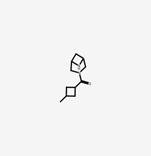 CC1CC(C(=O)N2CC3CC(C2)N3)C1